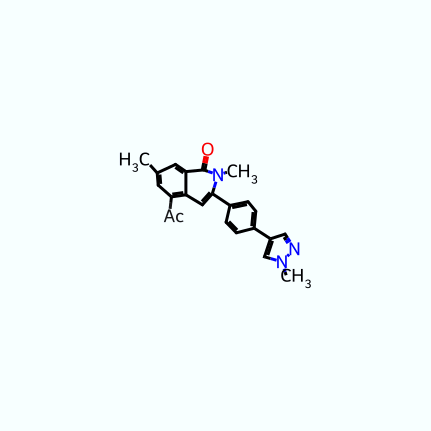 CC(=O)c1cc(C)cc2c(=O)n(C)c(-c3ccc(-c4cnn(C)c4)cc3)cc12